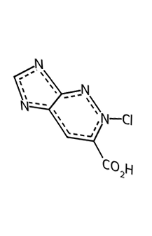 O=C(O)c1cc2ncnc-2nn1Cl